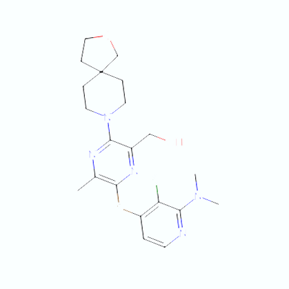 Cc1nc(N2CCC3(CCOC3)CC2)c(CO)nc1Sc1ccnc(N(C)C)c1Cl